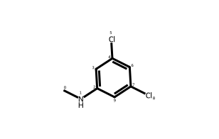 CNc1cc(Cl)cc(Cl)c1